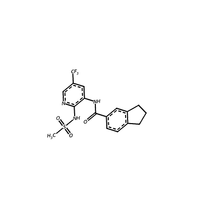 CS(=O)(=O)Nc1ncc(C(F)(F)F)cc1NC(=O)c1ccc2c(c1)CCC2